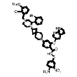 COc1cccc(CN2CCN(C3CC4(CCN(c5ccc(C(=O)NSc6ccc(N)c([N+](=O)[O-])c6)c(Oc6cnc7[nH]ccc7c6)c5)CC4)C3)C(c3ccccc3C(C)C)C2)c1Cl